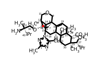 Cc1nc(C)n([C@@H]2C[C@@]34COC[C@@](C)([C@@H]3CC[C@H]3C4=CC[C@@]4(C)[C@H](C(=O)O)[C@@](C)([C@H](C)C(C)C)CC[C@]34C)[C@H]2OC[C@](C)(N)C(C)C)n1